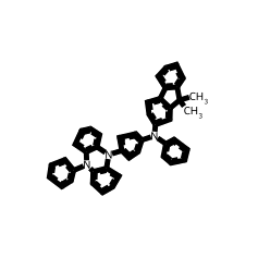 CC1(C)c2ccccc2-c2ccc(N(c3ccccc3)c3ccc(N4c5ccccc5N(c5ccccc5)c5ccccc54)cc3)cc21